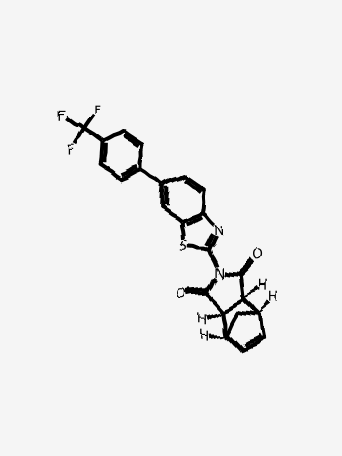 O=C1[C@@H]2[C@H](C(=O)N1c1nc3ccc(-c4ccc(C(F)(F)F)cc4)cc3s1)[C@@H]1C=C[C@H]2C1